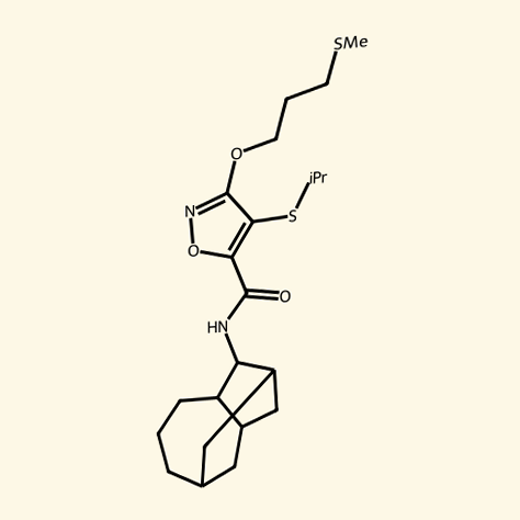 CSCCCOc1noc(C(=O)NC2C3CC4CCCC2C(C4)C3)c1SC(C)C